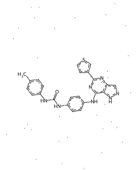 Cc1ccc(NC(=O)Nc2ccc(Nc3nc(-c4ccsc4)nc4cn[nH]c34)cc2)cc1